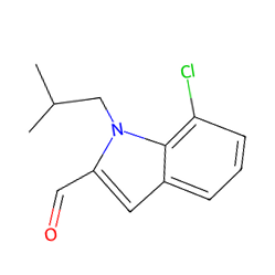 CC(C)Cn1c(C=O)cc2cccc(Cl)c21